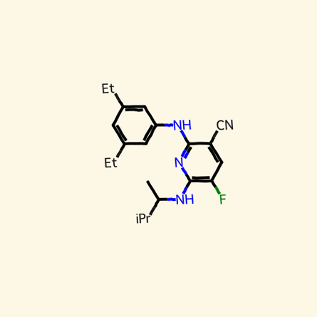 CCc1cc(CC)cc(Nc2nc(NC(C)C(C)C)c(F)cc2C#N)c1